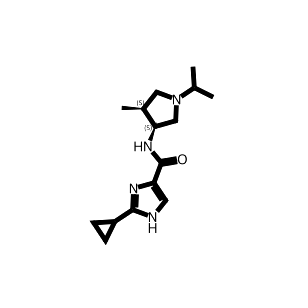 CC(C)N1C[C@H](C)[C@H](NC(=O)c2c[nH]c(C3CC3)n2)C1